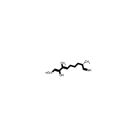 CCCCCCCCC=C(O)/C(C)=C/CCC[C@H](C)C=N